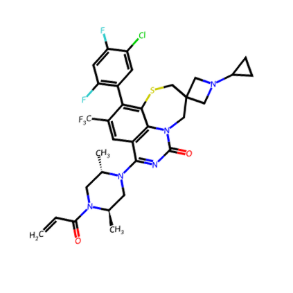 C=CC(=O)N1C[C@H](C)N(c2nc(=O)n3c4c(c(-c5cc(Cl)c(F)cc5F)c(C(F)(F)F)cc24)SCC2(CN(C4CC4)C2)C3)C[C@H]1C